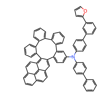 c1ccc(-c2ccc(N(c3ccc(-c4cccc(-c5ccco5)c4)cc3)c3ccc4c(c3)c3ccccc3c3ccccc3c3ccccc3c3c4cc4ccc5cccc6ccc3c4c56)cc2)cc1